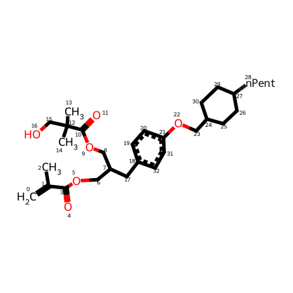 C=C(C)C(=O)OCC(COC(=O)C(C)(C)CO)Cc1ccc(OCC2CCC(CCCCC)CC2)cc1